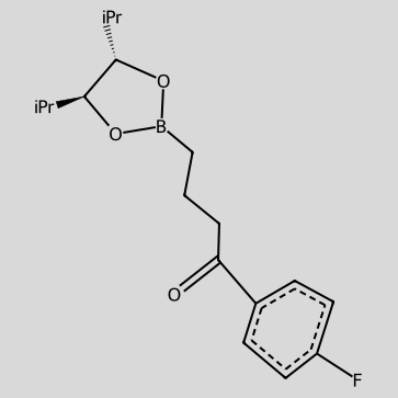 CC(C)[C@@H]1OB(CCCC(=O)c2ccc(F)cc2)O[C@H]1C(C)C